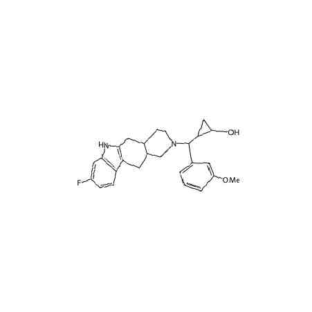 COc1cccc(C(C2CC2O)N2CCC3Cc4[nH]c5cc(F)ccc5c4CC3C2)c1